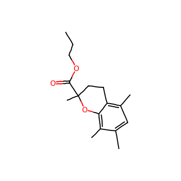 CCCOC(=O)C1(C)CCc2c(C)cc(C)c(C)c2O1